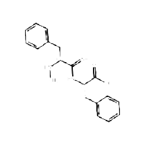 CN[C@@H](Cc1ccccc1)C(=N)N[C@@H](Cc1ccccc1)C(=O)O